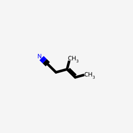 C/C=C(\C)CC#N